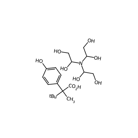 CC(C)(C)C(C)(C(=O)O)c1ccc(O)cc1.OCC(O)N(C(O)CO)C(O)CO